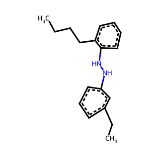 CCCCc1ccccc1NNc1cccc(CC)c1